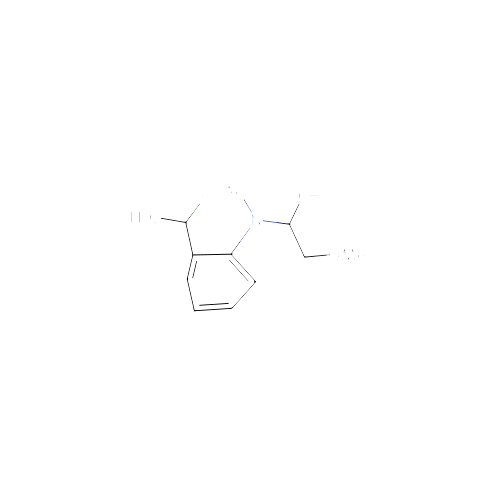 COCC(C)N(C(C)=O)c1ccccc1C(C)Cl